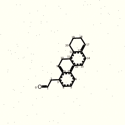 O=C[CH]c1cccc2c1=CCc1c3c(ccc1=2)=CCCC3